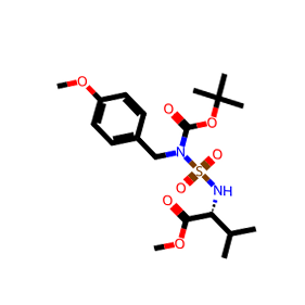 COC(=O)[C@H](NS(=O)(=O)N(Cc1ccc(OC)cc1)C(=O)OC(C)(C)C)C(C)C